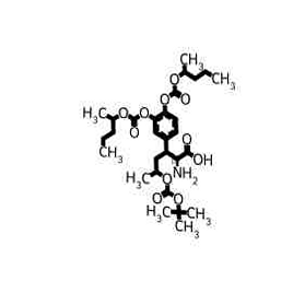 CCCC(C)OC(=O)Oc1ccc(C(CC(C)OC(=O)OC(C)(C)C)[C@H](N)C(=O)O)cc1OC(=O)OC(C)CCC